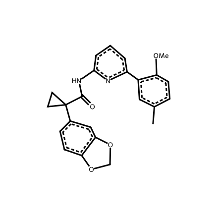 COc1ccc(C)cc1-c1cccc(NC(=O)C2(c3ccc4c(c3)OCO4)CC2)n1